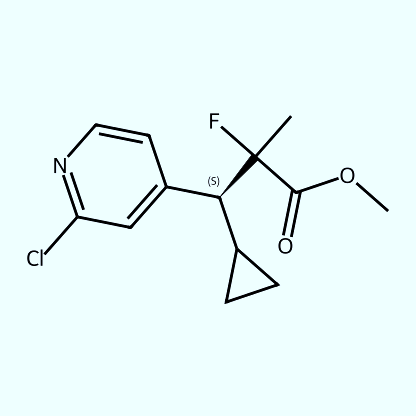 COC(=O)C(C)(F)[C@H](c1ccnc(Cl)c1)C1CC1